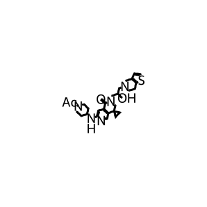 CC(=O)N1CCC(Nc2cc3c(cn2)C2(CC2)CN(CC(O)CN2CCc4sccc4C2)C3=O)CC1